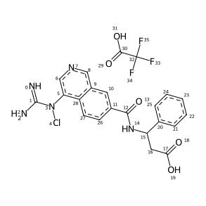 N=C(N)N(Cl)c1cncc2cc(C(=O)NC(CC(=O)O)c3ccccc3)ccc12.O=C(O)C(F)(F)F